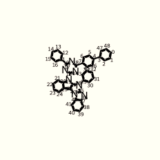 c1ccc(-c2ccc(-c3nc(-c4ccccc4)nc(-n4c5ccccc5c5c4n(-c4ccccc4)c4nc6ccccc6n54)n3)cc2)cc1